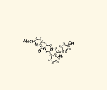 COc1ccc(C)c(C(=O)N2CCN(Cc3c(-c4ccc(C#N)cc4)nc4ccccn34)CC2)n1